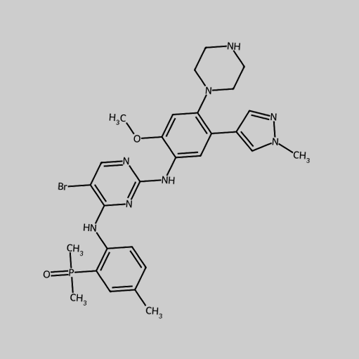 COc1cc(N2CCNCC2)c(-c2cnn(C)c2)cc1Nc1ncc(Br)c(Nc2ccc(C)cc2P(C)(C)=O)n1